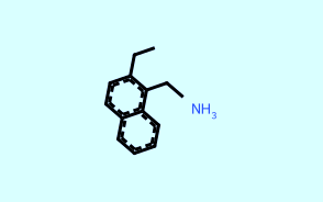 CCc1ccc2ccccc2c1CC.N